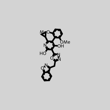 COc1cccc(OC)c1-c1c(C2CC2)nc(O)c(-c2nnc(Cc3noc4ccccc34)o2)c1O